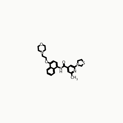 Cc1cc(C(=O)Nc2ccc(OCCN3CCOCC3)c3ccccc23)cc(N2CCSC2)n1